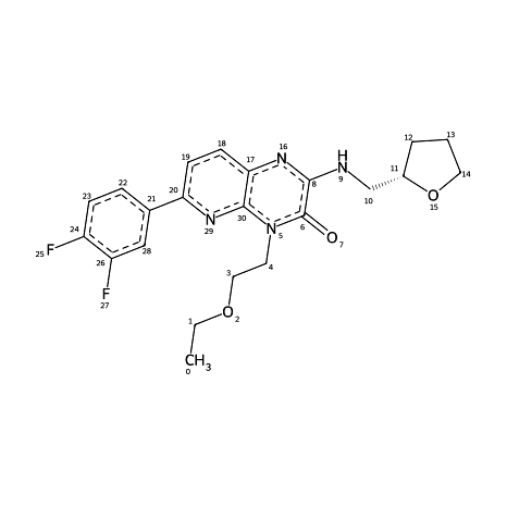 CCOCCn1c(=O)c(NC[C@@H]2CCCO2)nc2ccc(-c3ccc(F)c(F)c3)nc21